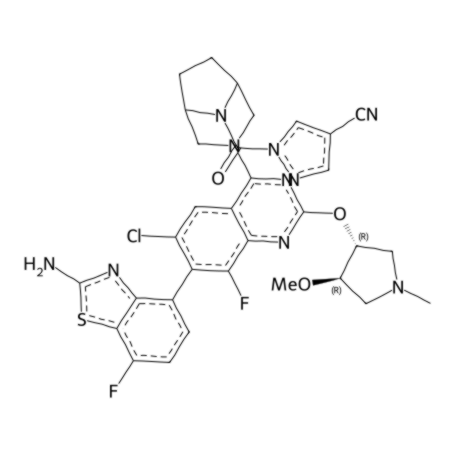 CO[C@@H]1CN(C)C[C@H]1Oc1nc(N2CC3CCC(C2)N3C(=O)n2cc(C#N)cn2)c2cc(Cl)c(-c3ccc(F)c4sc(N)nc34)c(F)c2n1